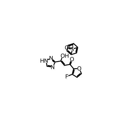 O=C(C=C(O)c1nc[nH]n1)c1occc1F.O=S1(=O)c2cccc1c2